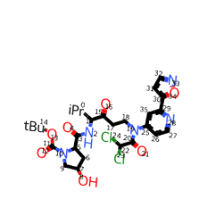 CC(C)C(NC(=O)C1CC(O)CN1C(=O)OC(C)(C)C)C(=O)CCN(C(=O)C(Cl)Cl)c1ccnc(-c2ccno2)c1